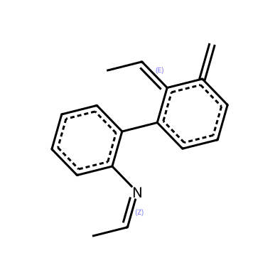 C=c1cccc(-c2ccccc2/N=C\C)/c1=C\C